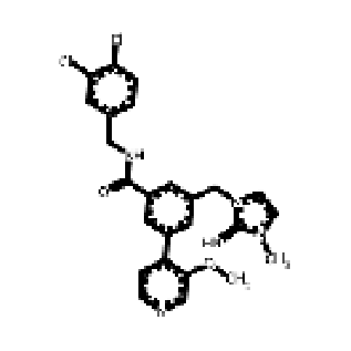 COc1cnccc1-c1cc(Cn2ccn(C)c2=N)cc(C(=O)NCc2ccc(Cl)c(Cl)c2)c1